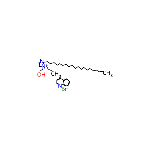 CCCCCCCCCCCCCCCCCCCCC1=NC=C[N+]1(CCO)CCCC.[Br-].c1ccc2ncccc2c1